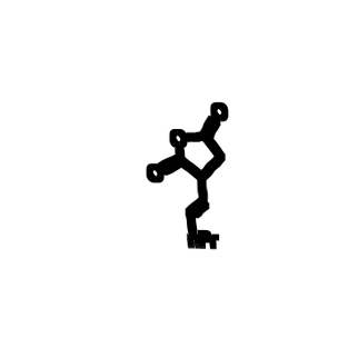 CCC/C=C/C1CC(=O)OC1=O